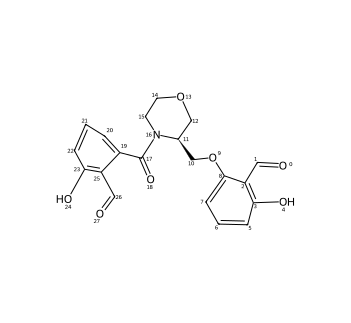 O=Cc1c(O)cccc1OC[C@@H]1COCCN1C(=O)c1cccc(O)c1C=O